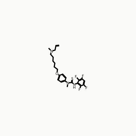 C=CCN(C)CCCCCCOc1ccc(N(C)C(=S)Nc2c(F)c(F)cc(F)c2F)cc1